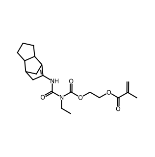 C=C(C)C(=O)OCCOC(=O)N(CC)C(=O)NC1=C2CC(C1)C1CCCC21